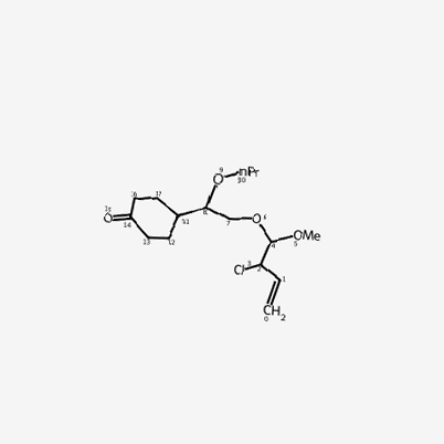 C=CC(Cl)C(OC)OCC(OCCC)C1CCC(=O)CC1